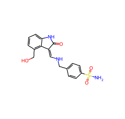 NS(=O)(=O)c1ccc(CNC=C2C(=O)Nc3cccc(CO)c32)cc1